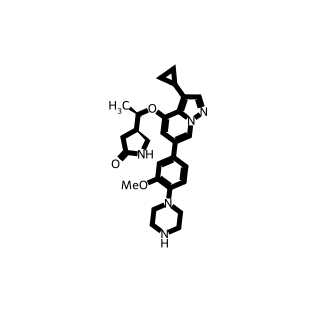 COc1cc(-c2cc(O[C@H](C)[C@H]3CNC(=O)C3)c3c(C4CC4)cnn3c2)ccc1N1CCNCC1